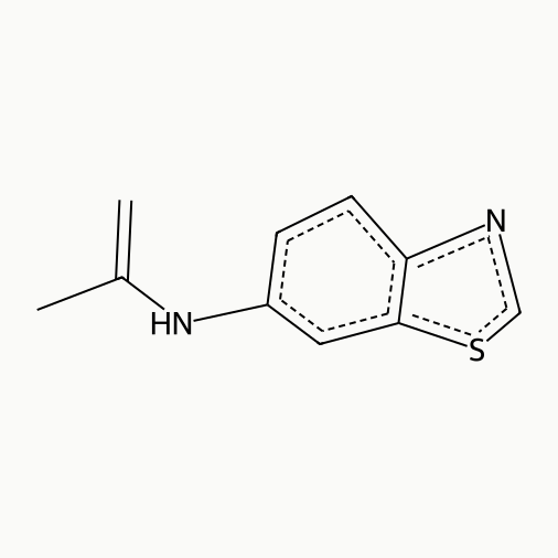 C=C(C)Nc1ccc2ncsc2c1